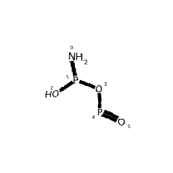 NP(O)OP=O